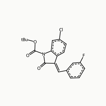 CC(C)(C)OC(=O)N1C(=O)/C(=C/c2cccc(F)c2)c2ccc(Cl)cc21